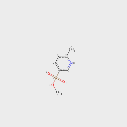 COS(=O)(=O)c1ccc(C)nc1